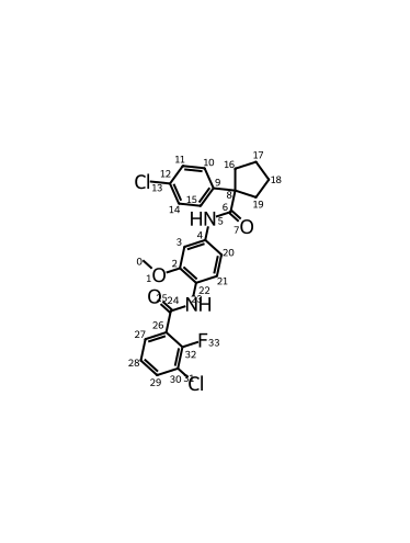 COc1cc(NC(=O)C2(c3ccc(Cl)cc3)CCCC2)ccc1NC(=O)c1cccc(Cl)c1F